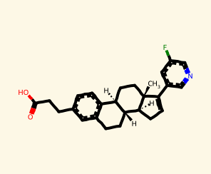 C[C@]12CC[C@@H]3c4ccc(CCC(=O)O)cc4CC[C@H]3[C@@H]1CC=C2c1cncc(F)c1